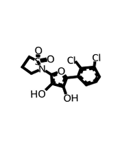 O=S1(=O)CCCN1c1oc(-c2cccc(Cl)c2Cl)c(O)c1O